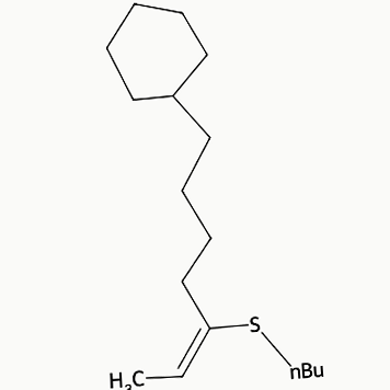 C/C=C(\CCCCC1CCCCC1)SCCCC